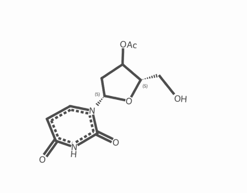 CC(=O)OC1C[C@@H](n2ccc(=O)[nH]c2=O)O[C@H]1CO